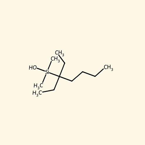 CCCCC(CC)(CC)[Si](C)(C)O